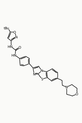 CC(C)(C)c1cc(NC(=O)Nc2ccc(-c3cn4c(n3)sc3cc(CCN5CCOCC5)ccc34)cc2)no1